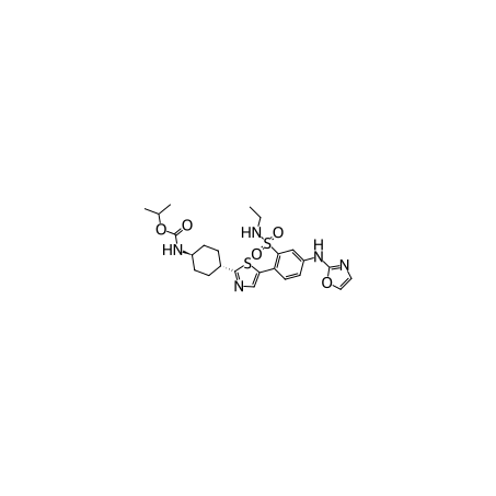 CCNS(=O)(=O)c1cc(Nc2ncco2)ccc1-c1cnc([C@H]2CC[C@H](NC(=O)OC(C)C)CC2)s1